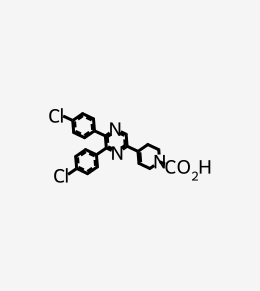 O=C(O)N1CC=C(c2cnc(-c3ccc(Cl)cc3)c(-c3ccc(Cl)cc3)n2)CC1